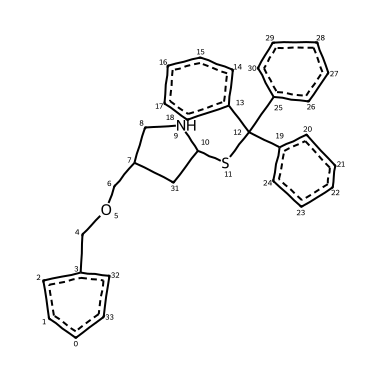 c1ccc(COCC2CNC(SC(c3ccccc3)(c3ccccc3)c3ccccc3)C2)cc1